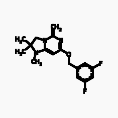 C=C1N=C(OCc2cc(F)cc(F)c2)C=C2N1CC(C)(C)N2C